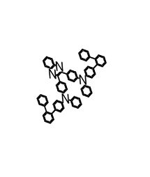 c1ccc(-c2ccccc2-c2ccc(N(c3ccccc3)c3ccc(-c4nc5ccccc5nc4-c4ccc(N(c5ccccc5)c5ccc(-c6ccccc6-c6ccccc6)cc5)cc4)cc3)cc2)cc1